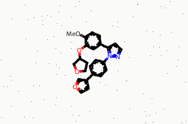 COc1ccc(-c2ccnn2-c2ccc(-c3ccoc3)cc2)cc1OC1CCOC1